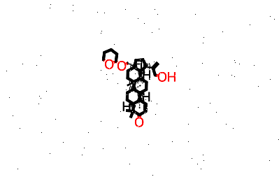 C=C(CO)[C@@H]1CC[C@]2(COC3CCCCO3)CC[C@]3(C)[C@H](CC[C@@H]4[C@@]5(C)C=CC(=O)C(C)(C)[C@@H]5CC[C@]43C)[C@@H]12